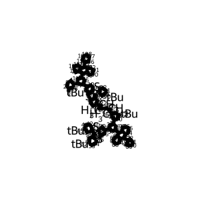 CC(C)(C)c1cccc(-c2cc(-c3cc4c5c(c3)Sc3ccc(C(C)(C)CCC(C)(C)c6cc(-c7cc(-c8cc9c%10c(c8)Sc8ccc(C(C)(C)C)cc8B%10c8cc(C(C)(C)C)ccc8S9)cc(-c8c9ccccc9c(-c9ccccc9)c9ccccc89)c7)cc(C(C)(C)C)c6)cc3B5c3cc(C(C)(C)C)ccc3S4)cc(-c3c4ccccc4c(-c4ccccc4)c4ccccc34)c2)c1